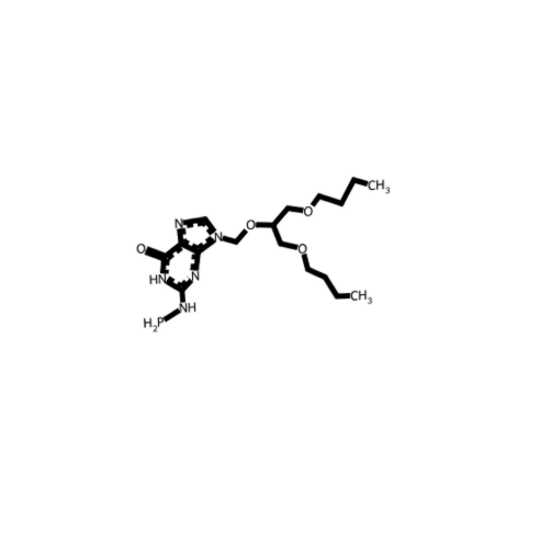 CCCCOCC(COCCCC)OCn1cnc2c(=O)[nH]c(NP)nc21